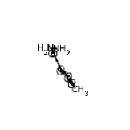 CCCCC(=O)Oc1ccc(OC(=O)/C=C/c2ccc(C(=O)OCCCCCCCCCCCOC(=O)c3cc(N)cc(N)c3)cc2)cc1